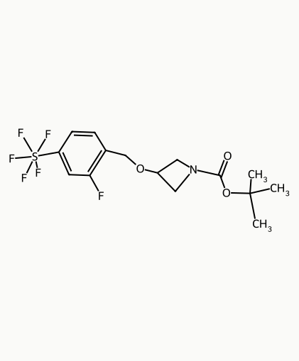 CC(C)(C)OC(=O)N1CC(OCc2ccc(S(F)(F)(F)(F)F)cc2F)C1